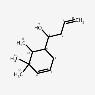 C=CCC(O)C1CC=CC(C)(C)C1C